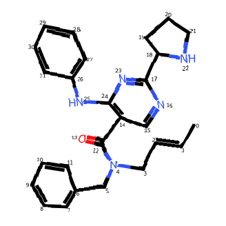 C/C=C/CN(Cc1ccccc1)C(=O)c1cnc(C2CCCN2)nc1Nc1ccccc1